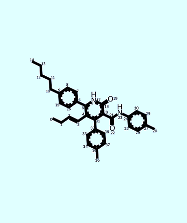 CC/C=C/c1c(-c2ccc(CCCCC)cc2)[nH]c(=O)c(C(=O)Nc2ccc(C)cc2)c1-c1ccc(C)cc1